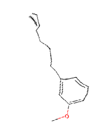 C=CCCCc1cccc(OC)c1